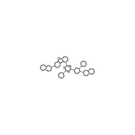 c1ccc(-c2nc(-c3ccc(-c4ccc5ccccc5c4)c(-c4ccccc4)c3)nc(-c3cccc4oc5cc(-c6ccc7ccccc7c6)ccc5c34)n2)cc1